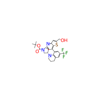 CC(C)(C)OC(=O)N1CC[C@H](N2CCCc3cc(C(F)(F)F)cc(-c4ccnc5cc(CO)sc45)c32)C1